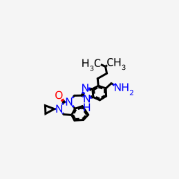 CC(C)CCc1c(CN)ccc2[nH]c(CN3C(=O)N(C4CC4)Cc4ccccc43)nc12